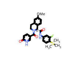 COc1ccc2c(c1)CCN(C(=O)c1ccc(=O)[nH]c1)[C@H]2C(=O)Nc1ccc(S(C)(C)C)c(F)c1